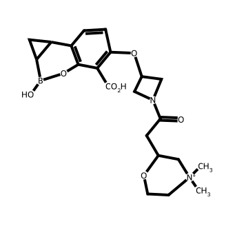 C[N+]1(C)CCOC(CC(=O)N2CC(Oc3ccc4c(c3C(=O)O)OB(O)C3CC43)C2)C1